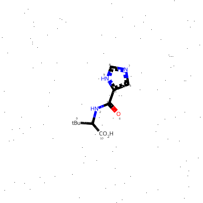 CC(C)(C)C(NC(=O)c1cnc[nH]1)C(=O)O